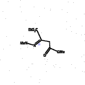 CCOC(=O)/C(CC(=O)OC)=N\NC